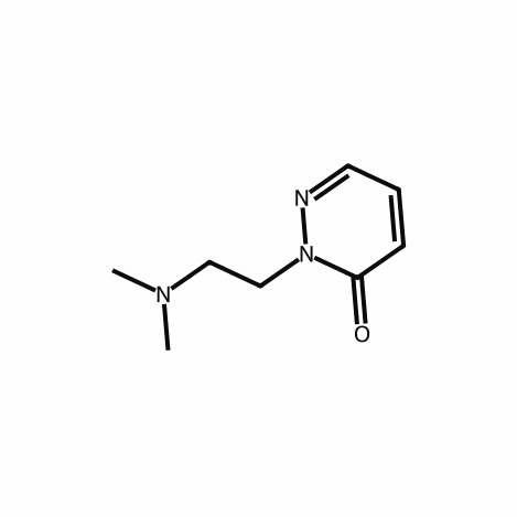 CN(C)CCn1ncccc1=O